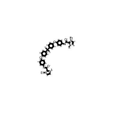 CCn1cc[n+](C)c1/C([O-])=N/c1ccc(Oc2ccc(C(C)(C)c3ccc(Oc4ccc(/N=C(\[O-])c5n(CC)cc[n+]5C)cc4)cc3)cc2)cc1